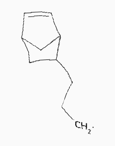 [CH2]CCC1CC2C=CC1C2